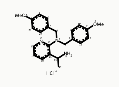 COc1ccc(CN(Cc2ccc(OC)cc2)c2ncccc2C(C)N)cc1.Cl